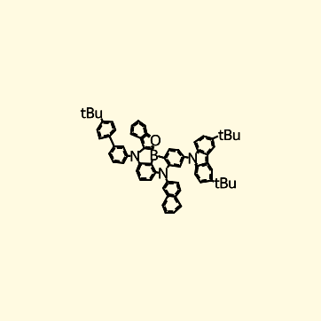 CC(C)(C)c1ccc(-c2cccc(N3c4cccc5c4B(c4ccc(-n6c7ccc(C(C)(C)C)cc7c7cc(C(C)(C)C)ccc76)cc4N5c4ccc5ccccc5c4)c4oc5ccccc5c43)c2)cc1